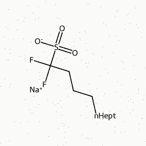 CCCCCCCCCCC(F)(F)S(=O)(=O)[O-].[Na+]